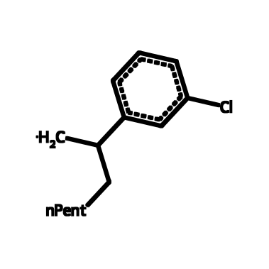 [CH2]C(CCCCCC)c1cccc(Cl)c1